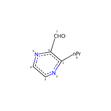 CCCc1nccnc1[C]=O